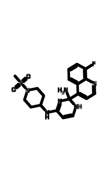 CS(=O)(=O)N1CCC(NC2=NC(N)(c3ccnc4c(F)cccc34)NC=C2)CC1